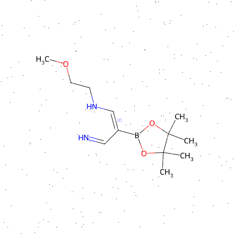 COCCN/C=C(\C=N)B1OC(C)(C)C(C)(C)O1